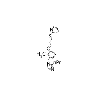 CCCc1nccn1Cc1cccc(OCCCSc2ccccn2)c1C